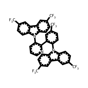 FC(F)(F)c1ccc(-n2c3ccc(C(F)(F)F)cc3c3cc(C(F)(F)F)ccc32)c(-c2ncccc2-n2c3ccc(C(F)(F)F)cc3c3cc(C(F)(F)F)ccc32)c1